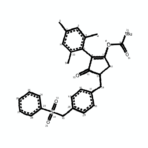 Cc1cc(C)c(C2=C(OC(=O)C(C)(C)C)CC(Cc3ccc(CS(=O)(=O)c4ccccc4)cc3)C2=O)c(C)c1